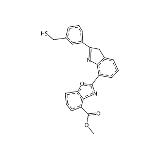 COC(=O)c1cccc2oc(-c3cccc4c3N=C(c3cccc(CS)c3)C4)nc12